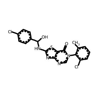 Cc1cccc(Cl)c1-n1cnc2nc(NC(O)c3ccc(Cl)cc3)sc2c1=O